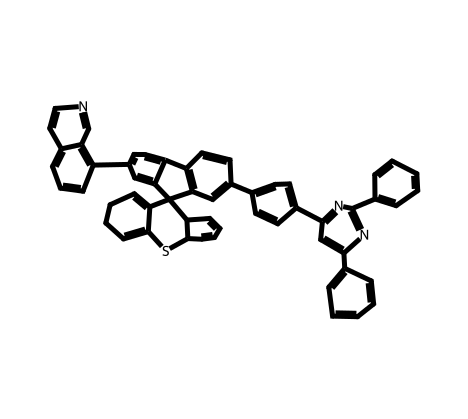 C1=CC2SC3=CCCC=C3C3(c4cc(-c5ccc(-c6cc(-c7ccccc7)nc(-c7ccccc7)n6)cc5)ccc4-c4ccc(-c5cccc6ccncc56)cc43)C2C=C1